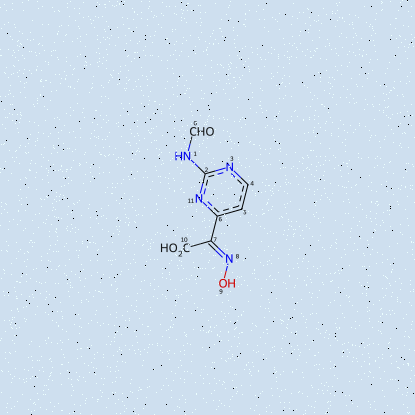 O=CNc1nccc(C(=NO)C(=O)O)n1